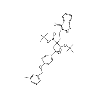 Cc1cccc(COc2ccc(C(=O)CC(CCn3nnc4ccccc4c3=O)(C(=O)OC(C)(C)C)C(=O)OC(C)(C)C)cc2)c1